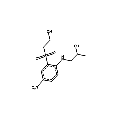 CC(O)CNc1ccc([N+](=O)[O-])cc1S(=O)(=O)CCO